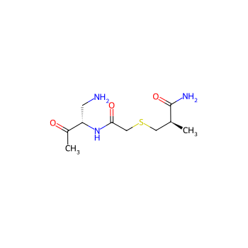 CC(=O)[C@H](CN)NC(=O)CSC[C@H](C)C(N)=O